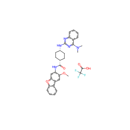 COc1cc2c(cc1NC(=O)[C@H]1CC[C@@H](Nc3nc(N(C)C)c4ccccc4n3)CC1)oc1ccccc12.O=C(O)C(F)(F)F